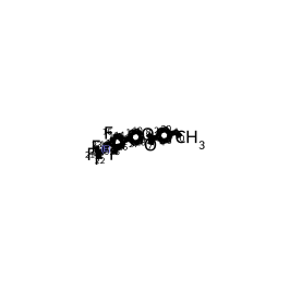 CCC1CCC(C(=O)OC2CCC(c3cc(F)c(/C=C/C(F)(F)F)c(F)c3)CC2)CC1